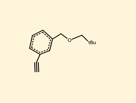 C#Cc1cccc(COCC(C)(C)C)c1